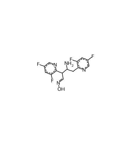 NC(Cc1ncc(F)cc1F)C(C=NO)c1ncc(F)cc1F